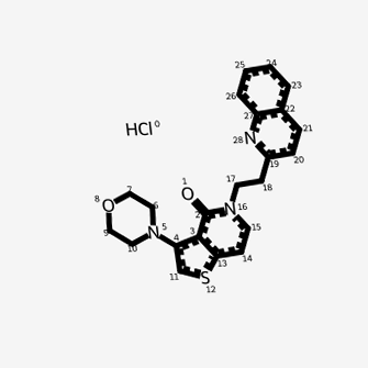 Cl.O=c1c2c(N3CCOCC3)csc2ccn1CCc1ccc2ccccc2n1